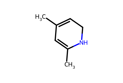 CC1=CCNC(C)=C1